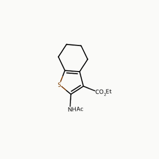 CCOC(=O)c1c(NC(C)=O)sc2c1CCCC2